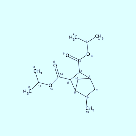 CC(C)OC(=O)C1C2CC(C)C(C2)C1C(=O)OC(C)C